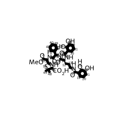 COC(=O)[C@@H](NC(=O)C(NC(=O)[C@H](CCCNC(=O)c1cccc(O)c1O)NC(=O)c1cccc(O)c1O)c1ccccc1)C1NC(C(=O)O)C(C)(C)S1